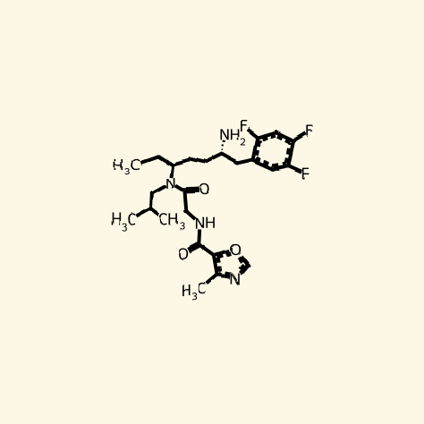 CCC(CC[C@H](N)Cc1cc(F)c(F)cc1F)N(CC(C)C)C(=O)CNC(=O)c1ocnc1C